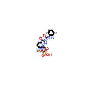 O=C(NC(=O)[C@@H]1CC[C@@H]2CN1C(=O)N2OS(=O)(=O)O)Nc1ccccc1